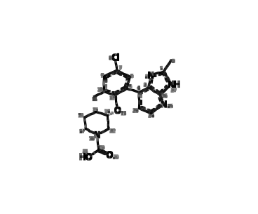 Cc1nc2c(-c3cc(Cl)cc(C)c3O[C@H]3CCCN(C(=O)O)C3)ccnc2[nH]1